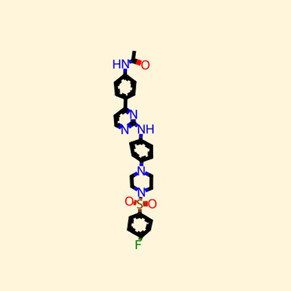 CC(=O)Nc1ccc(-c2ccnc(Nc3ccc(N4CCN(S(=O)(=O)c5ccc(F)cc5)CC4)cc3)n2)cc1